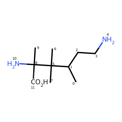 CC(CCN)C(C)(C)C(C)(N)C(=O)O